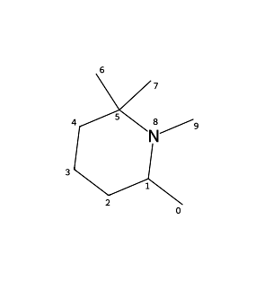 CC1CCCC(C)(C)N1C